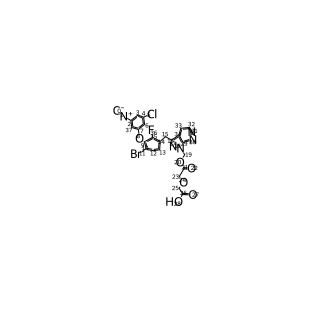 [C-]#[N+]c1cc(Cl)cc(Oc2c(Br)ccc(Cc3nn(COC(=O)COCC(=O)O)c4nnccc34)c2F)c1